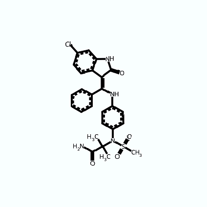 CC(C)(C(N)=O)N(c1ccc(N/C(=C2\C(=O)Nc3cc(Cl)ccc32)c2ccccc2)cc1)S(C)(=O)=O